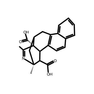 CC1=N[C@@]2(C)CC3Cc4c(ccc5ccccc45)C(C2C(=O)O)[C@@]13C(=O)O